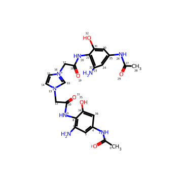 CC(=O)Nc1cc(N)c(NC(=O)Cn2cc[n+](CC(=O)Nc3c(N)cc(NC(C)=O)cc3O)c2)c(O)c1